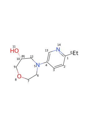 CCc1ccc(N2CCOC[C@H](O)C2)cn1